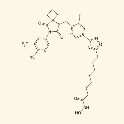 N#Cc1ncc(N2C(=O)N(Cc3ccc(-c4noc(CCCCCCCC(=O)NO)n4)cc3F)C3(CCC3)C2=O)cc1C(F)(F)F